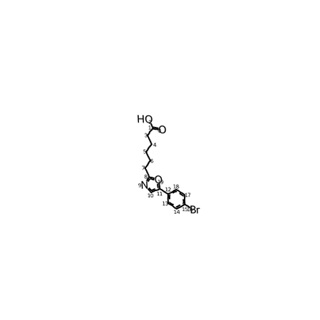 O=C(O)CCCCCc1ncc(-c2ccc(Br)cc2)o1